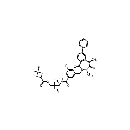 C[C@@H]1C(=O)N(C)c2cc(-c3ccncc3)ccc2C(=O)N1Cc1cc(F)cc(C(=O)NCC(C)(C)COC(=O)C2CC(F)(F)C2)c1